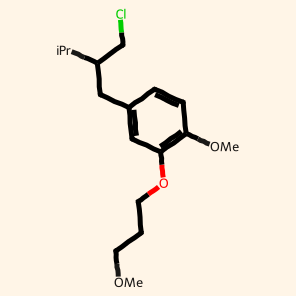 COCCCOc1cc(CC(CCl)C(C)C)ccc1OC